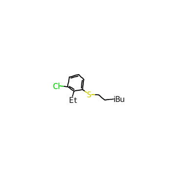 CCc1c(Cl)cccc1SCCC(C)CC